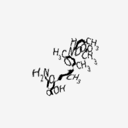 CC(=O)O[C@@H](C)/C=C\C(=O)N[C@@H]1C[C@H](C)[C@H](C/C=C(C)/C=C/[C@H]2O[C@H](CN)C[C@@]3(CO3)[C@@H]2O)O[C@@H]1C